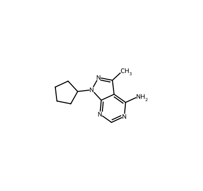 Cc1nn(C2CCCC2)c2ncnc(N)c12